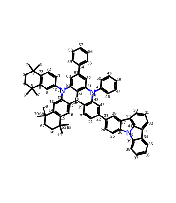 CC1(C)CCC(C)(C)c2cc(N3c4cc5c(cc4B4c6ccc(-c7ccc8c(c7)c7cccc9c%10ccccc%10n8c97)cc6N(c6ccccc6)c6cc(-c7ccccc7)cc3c64)C(C)(C)CCC5(C)C)ccc21